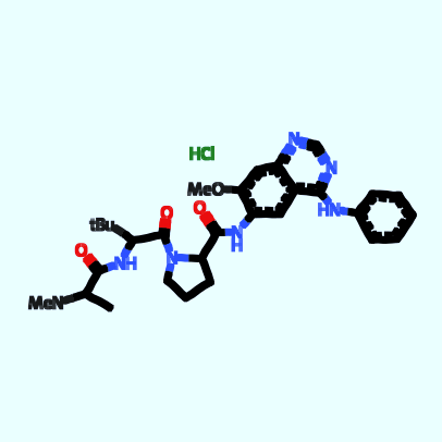 CNC(C)C(=O)NC(C(=O)N1CCCC1C(=O)Nc1cc2c(Nc3ccccc3)ncnc2cc1OC)C(C)(C)C.Cl